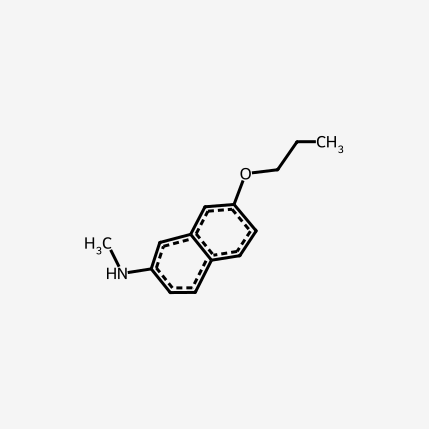 CCCOc1ccc2ccc(NC)cc2c1